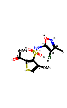 CNC(=O)c1scc(OC)c1S(=O)(=O)Nc1onc(C)c1Cl